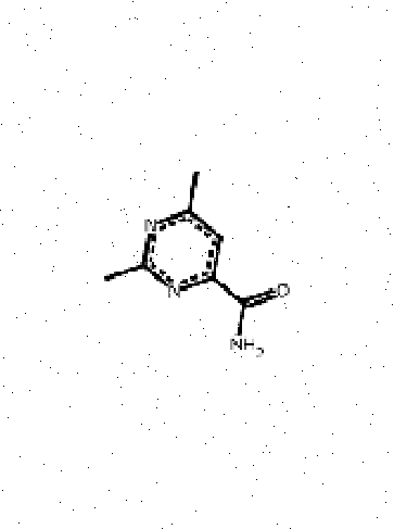 Cc1cc(C(N)=O)nc(C)n1